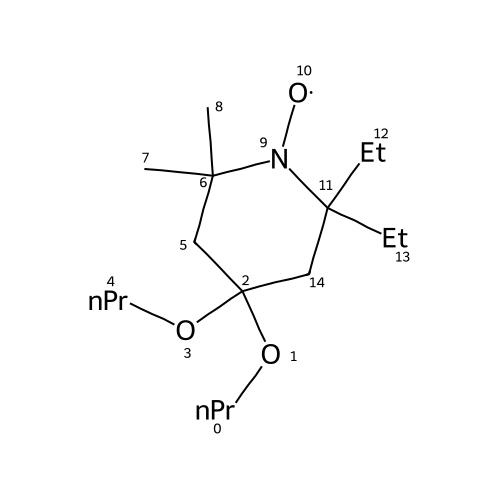 CCCOC1(OCCC)CC(C)(C)N([O])C(CC)(CC)C1